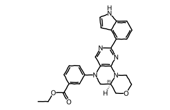 CCOC(=O)c1cccc(N2C[C@@H]3COCCN3c3nc(-c4cccc5[nH]ccc45)ncc32)c1